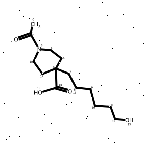 CC(=O)N1CCC(CCCCCCO)(C(=O)O)CC1